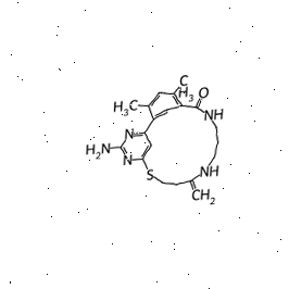 C=C1CCSc2cc(nc(N)n2)-c2cc(c(C)cc2C)C(=O)NCCCN1